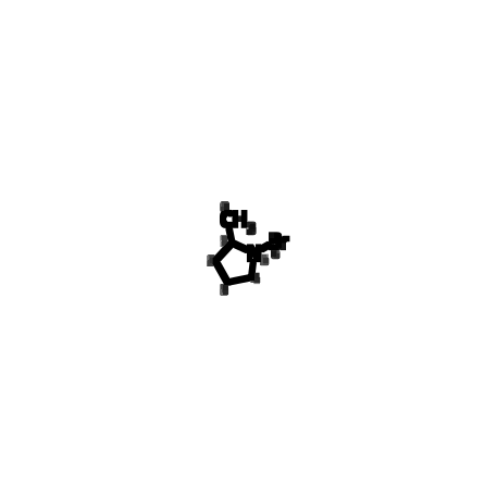 CC1CCCN1Br